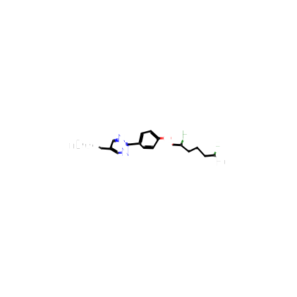 CCCCCCCCCCCc1cnc(-c2ccc(OCC(F)CCCC(F)CC)cc2)nc1